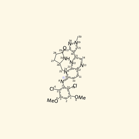 COc1cc(OC)c(Cl)c(/N=c2\ccc3ncc(-c4cnn(C)c4)nc3n2CC2CCC(=O)N2)c1Cl